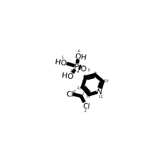 ClCCl.O=P(O)(O)O.c1ccncc1